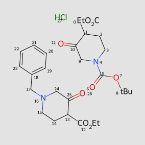 CCOC(=O)C1CCN(C(=O)OC(C)(C)C)CC1=O.CCOC(=O)C1CCN(Cc2ccccc2)CC1=O.Cl